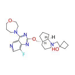 OC1(CN2CCC[C@@]3(COc4nc(N5CCCOCC5)c5cncc(F)c5n4)CCC[C@@H]23)CCC1